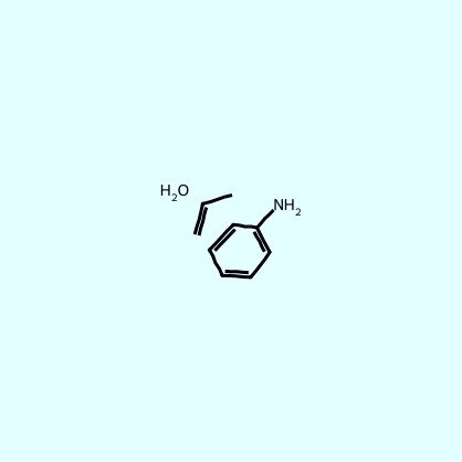 C=CC.Nc1ccccc1.O